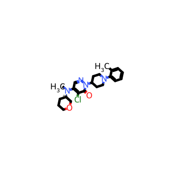 Cc1ccccc1N1CCC(n2ncc(N(C)[C@H]3CCCOC3)c(Cl)c2=O)CC1